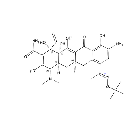 C=C[C@]1(O)C(C(N)=O)=C(O)[C@@H](N(C)C)[C@@H]2C[C@@H]3Cc4c(/C(C)=N/OC(C)(C)C)cc(N)c(O)c4C(=O)C3=C(O)[C@@]21O